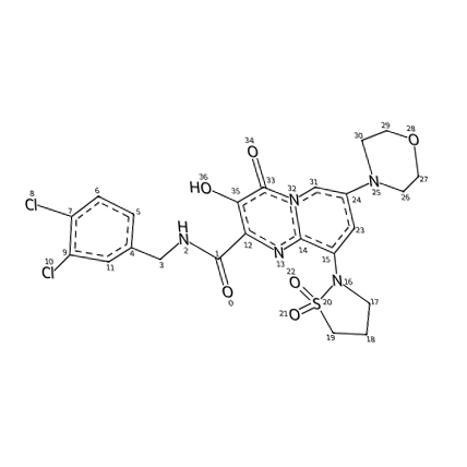 O=C(NCc1ccc(Cl)c(Cl)c1)c1nc2c(N3CCCS3(=O)=O)cc(N3CCOCC3)cn2c(=O)c1O